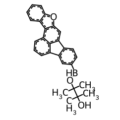 CC(C)(O)C(C)(C)OBc1ccc2c(c1)-c1cccc3c1c-2cc1oc2ccccc2c13